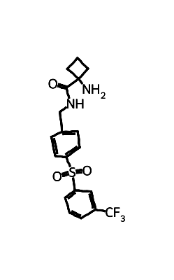 NC1(C(=O)NCc2ccc(S(=O)(=O)c3cccc(C(F)(F)F)c3)cc2)CCC1